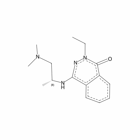 CCn1nc(N[C@H](C)CN(C)C)c2ccccc2c1=O